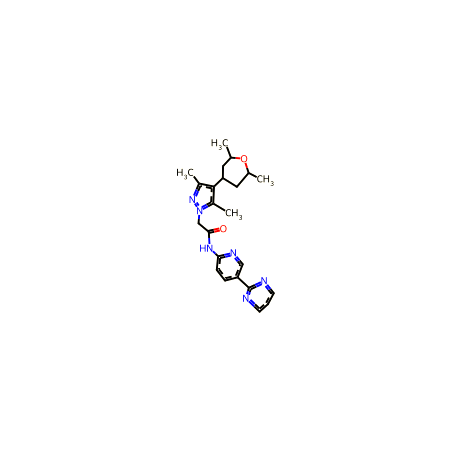 Cc1nn(CC(=O)Nc2ccc(-c3ncccn3)cn2)c(C)c1C1CC(C)OC(C)C1